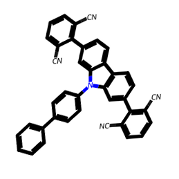 N#Cc1cccc(C#N)c1-c1ccc2c3ccc(-c4c(C#N)cccc4C#N)cc3n(-c3ccc(-c4ccccc4)cc3)c2c1